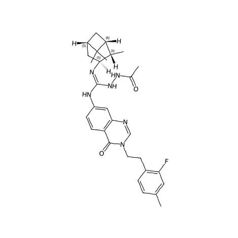 CC(=O)NNC(=N[C@H]1C[C@@H]2C[C@H]([C@@H]1C)C2(C)C)Nc1ccc2c(=O)n(CCc3ccc(C)cc3F)cnc2c1